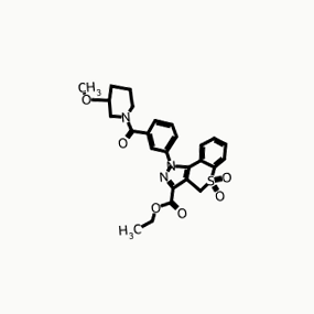 CCOC(=O)c1nn(-c2cccc(C(=O)N3CCCC(OC)C3)c2)c2c1CS(=O)(=O)c1ccccc1-2